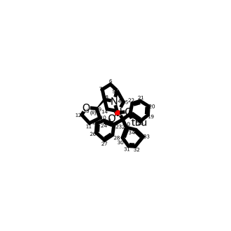 CC(C)(C)OC(=O)N1C2CCC1([C@H]1CCCO1)CN(C(c1ccccc1)(c1ccccc1)c1ccccc1)C2